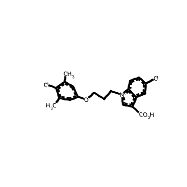 Cc1cc(OCCCn2cc(C(=O)O)c3cc(Cl)ccc32)cc(C)c1Cl